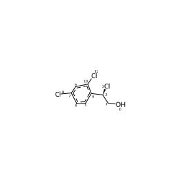 OC[C@H](Cl)c1ccc(Cl)cc1Cl